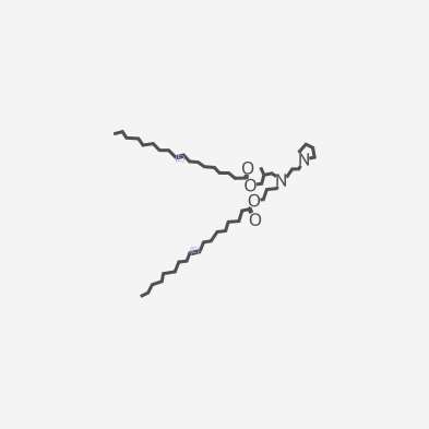 CCCCCCCC/C=C/CCCCCCCC(=O)OCCCN(CCCN1CCCC1)CC(C)COC(=O)CCCCCCC/C=C/CCCCCCCC